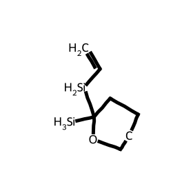 C=C[SiH2]C1([SiH3])CCCCO1